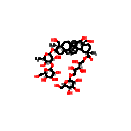 C[C@H]1O[C@@H](O[C@H]2CC[C@@]3(C)C(CC[C@]4(C)C3C=CC3=C5C[C@](C)(C(=O)OC[C@@H](O)[C@@H](O)[C@@H](O)CO[C@@H]6O[C@H](CO)[C@@H](O)[C@H](O)[C@H]6O)CC[C@]5(CO)[C@H](O)C[C@]34C)[C@]2(C)CO)[C@H](O)[C@@H](O[C@@H]2O[C@H](CO)[C@@H](O)[C@H](O)[C@H]2O)[C@H]1O